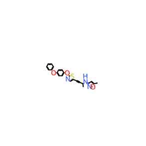 Cc1cc(NC(C)C#Cc2cnc(Oc3ccc(Oc4ccccc4)cc3)s2)no1